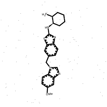 COc1ccc2c(c1)ncn2Cc1ccc2nc(N[C@@H]3CCCCC3P)sc2c1